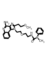 COCCc1nc2c(N)nc3ccccc3c2n1CCOCCNC(=O)N(C)c1ccccc1